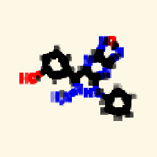 NN=C(c1cccc(O)c1)c1nc2nonc2nc1Nc1ccccc1